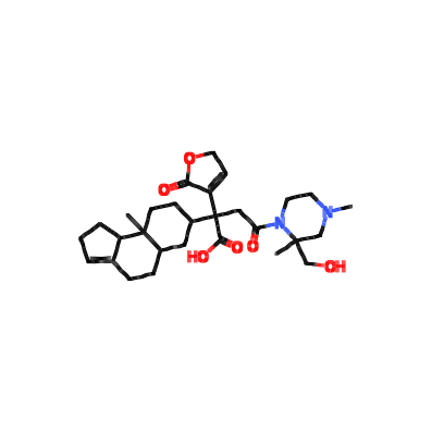 CN1CCN(C(=O)CC(C(=O)O)(C2=CCOC2=O)C2CCC3(C)C(CCC4=CCCC43)C2)C(C)(CO)C1